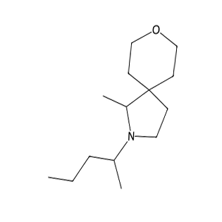 CCCC(C)N1CCC2(CCOCC2)C1C